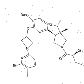 CCc1nc(N2CC(Oc3cc([C@@H]4CN(C(=O)[C@@H](O)CO)C[C@@]4(C)[C@@H](C)O)ccc3OC)C2)ccc1C